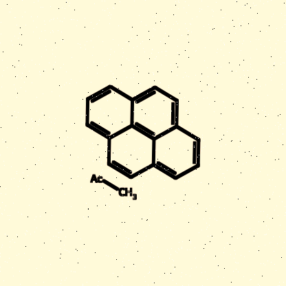 CC(C)=O.c1cc2ccc3cccc4ccc(c1)c2c34